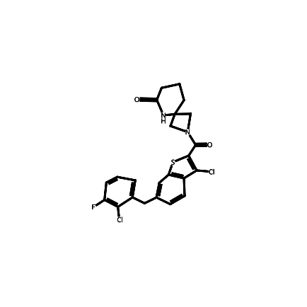 O=C1CCCC2(CN(C(=O)c3sc4cc(Cc5cccc(F)c5Cl)ccc4c3Cl)C2)N1